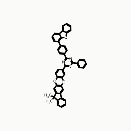 CC1(C)c2ccccc2-c2cc3c(cc21)Oc1ccc(-c2nc(-c4ccccc4)nc(-c4ccc(-c5cccc6c5oc5ccccc56)cc4)n2)cc1O3